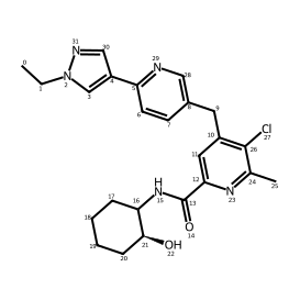 CCn1cc(-c2ccc(Cc3cc(C(=O)NC4CCCC[C@@H]4O)nc(C)c3Cl)cn2)cn1